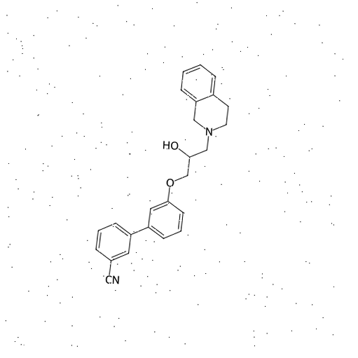 N#Cc1cccc(-c2cccc(OCC(O)CN3CCc4ccccc4C3)c2)c1